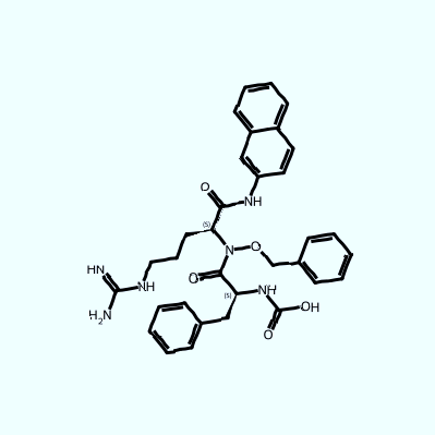 N=C(N)NCCC[C@@H](C(=O)Nc1ccc2ccccc2c1)N(OCc1ccccc1)C(=O)[C@H](Cc1ccccc1)NC(=O)O